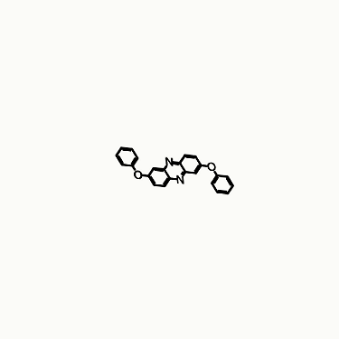 c1ccc(Oc2ccc3nc4cc(Oc5ccccc5)ccc4nc3c2)cc1